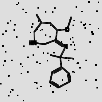 COC1CC(C)CNC/C1=N\C(C)(C)c1ccccc1